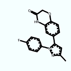 Cc1cc(-c2ccc3c(c2)NC(=O)CO3)n(-c2ccc(F)cc2)n1